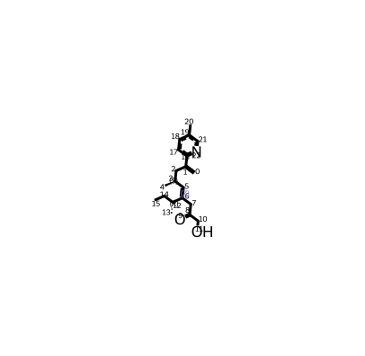 C=C(C[C@H](C)/C=C(/CC(=O)CO)[C@H](C)CC)c1ccc(C)cn1